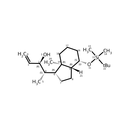 C=C[C@@H](O)[C@@H](C)[C@H]1CC[C@H]2[C@@H](O[Si](C)(C)C(C)(C)C)CCC[C@]12C